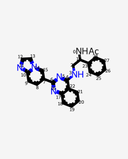 CC(=O)NC(CNc1nc(-c2ccc3nccn3c2)nc2ccccc12)c1ccccc1